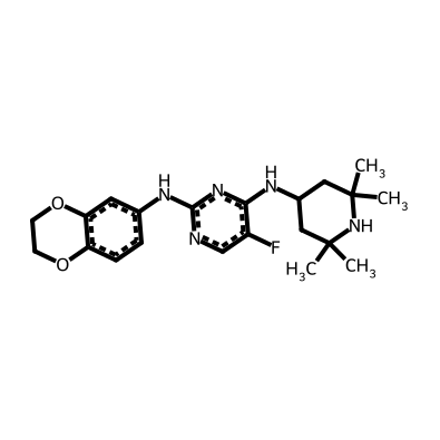 CC1(C)CC(Nc2nc(Nc3ccc4c(c3)OCCO4)ncc2F)CC(C)(C)N1